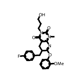 COc1ccccc1OC1=Nc2c(c(=O)n(CCCO)c(=O)n2C)CC1Cc1ccc(F)cc1